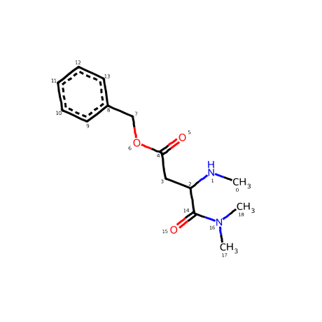 CNC(CC(=O)OCc1ccccc1)C(=O)N(C)C